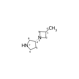 CC1CN([C@@H]2CCNC2)C1